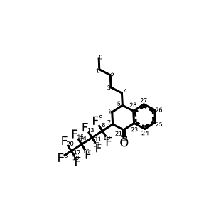 CCCCCC1CC(C(F)(F)C(F)(F)C(F)(F)C(F)(F)F)C(=O)c2ccccc21